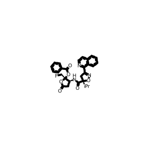 CC(C)[C@@]1(C(=O)N[C@H]2CC(=O)O[C@]2(CF)OC(=O)c2ccccc2)CC(c2nccc3ccccc23)=NO1